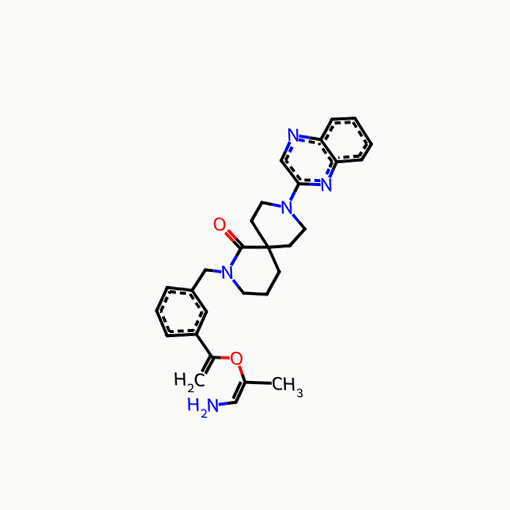 C=C(O/C(C)=C\N)c1cccc(CN2CCCC3(CCN(c4cnc5ccccc5n4)CC3)C2=O)c1